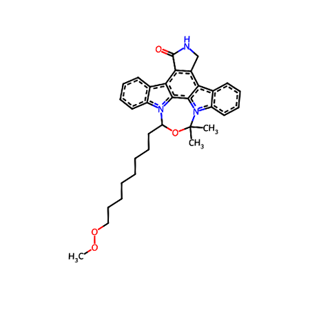 COOCCCCCCCCC1OC(C)(C)n2c3ccccc3c3c4c(c5c6ccccc6n1c5c32)C(=O)NC4